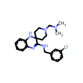 CN(C)CN1CCC2(CC1)Nc1ccccc1N=C2NCc1cccc(Cl)c1